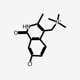 Cc1[nH]c(=O)c2cc(Cl)ccc2c1C[N+](C)(C)C